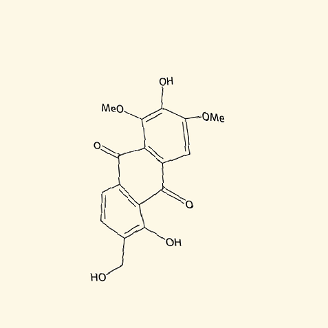 COc1cc2c(c(OC)c1O)C(=O)c1ccc(CO)c(O)c1C2=O